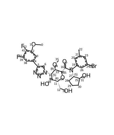 COc1cc(-c2cn([C@H]3[C@@H](O)[C@@H](CO)O[C@@H](C(=O)N(c4cc(C)cc(Br)c4)[C@H]4CCC[C@@H]4O)[C@@H]3OC)nn2)cc(F)c1F